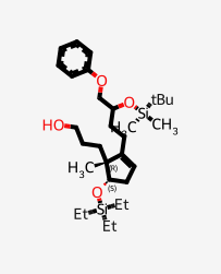 CC[Si](CC)(CC)O[C@H]1CC=C(CCC(COc2ccccc2)O[Si](C)(C)C(C)(C)C)[C@@]1(C)CCCO